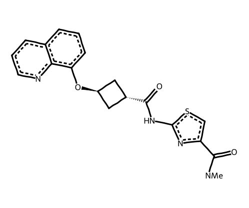 CNC(=O)c1csc(NC(=O)[C@H]2C[C@H](Oc3cccc4cccnc34)C2)n1